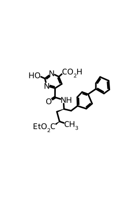 CCOC(=O)[C@H](C)C[C@H](Cc1ccc(-c2ccccc2)cc1)NC(=O)c1cc(C(=O)O)nc(O)n1